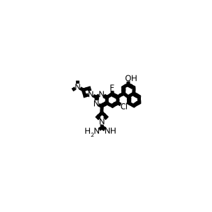 CN(C)C1CN(c2nc(C3CN(C(=N)N)C3)c3cc(Cl)c(-c4cc(O)cc5ccccc45)c(F)c3n2)C1